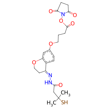 CC(C)(S)CC(=O)NN=C1CCOc2cc(OCCCC(=O)ON3C(=O)CCC3=O)ccc21